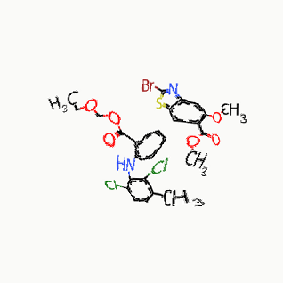 CCOCOC(=O)c1ccccc1Nc1c(Cl)ccc(C)c1Cl.COC(=O)c1cc2sc(Br)nc2cc1OC